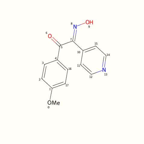 COc1ccc(C(=O)/C(=N/O)c2ccncc2)cc1